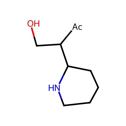 CC(=O)C(CO)C1CCCCN1